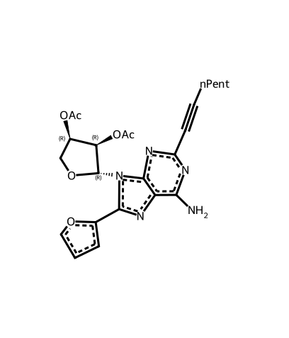 CCCCCC#Cc1nc(N)c2nc(-c3ccco3)n([C@@H]3OC[C@@H](OC(C)=O)[C@H]3OC(C)=O)c2n1